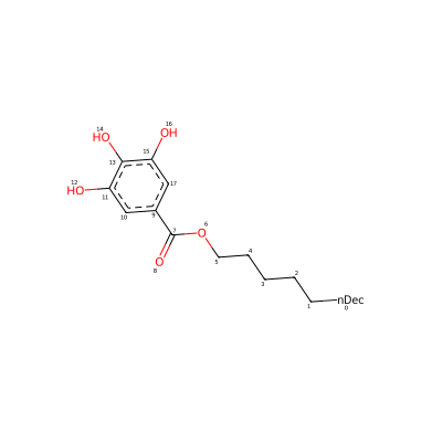 CCCCCCCCCCCCCCCOC(=O)c1cc(O)c(O)c(O)c1